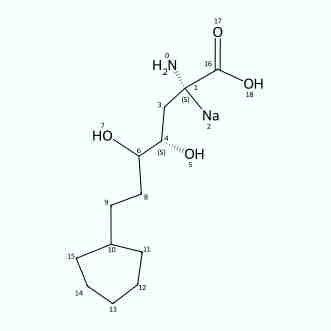 N[C@]([Na])(C[C@H](O)C(O)CCC1CCCCC1)C(=O)O